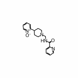 O=C(NCN1CCC(c2cccc[n+]2[O-])CC1)c1ccccn1